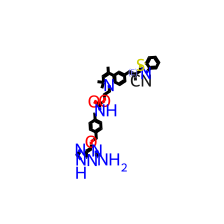 CC1=CC(C)(C)N(CCOC(=O)NCc2ccc(COc3nc(N)nc4[nH]cnc34)cc2)c2ccc(/C=C(\C#N)c3nc4ccccc4s3)cc21